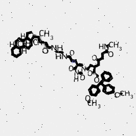 CNC(=O)CCC(=O)CC1C[C@H](n2cc(/C=C/C(=O)NCCNC(=O)CC[C@@H](C)[C@H]3CC[C@H]4[C@@H]5CC[C@@H]6CCCC[C@]6(C)[C@H]5CC[C@]34C)c(=O)[nH]c2=O)O[C@@H]1COC(c1ccccc1)(c1ccc(OC)cc1)c1ccc(OC)cc1